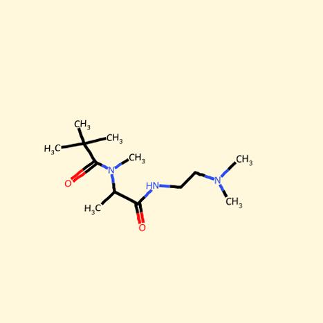 CC(C(=O)NCCN(C)C)N(C)C(=O)C(C)(C)C